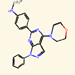 O=C(O)Nc1ccc(-c2nc(N3CCOCC3)c3cnn(-c4ccccc4)c3n2)cc1